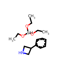 CCO[SiH](OCC)OCC.c1ccc(C2CNC2)cc1